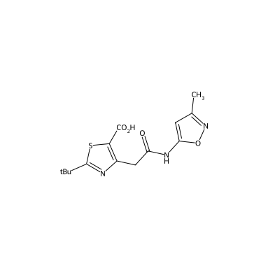 Cc1cc(NC(=O)Cc2nc(C(C)(C)C)sc2C(=O)O)on1